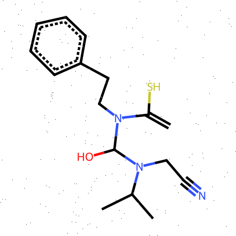 C=C(S)N(CCc1ccccc1)C(O)N(CC#N)C(C)C